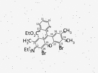 CC/N=c1\c(C)cc2c(-c3ccccc3C(=O)OCC)c3cc(C)c(C)c(Br)c3oc-2c1Br